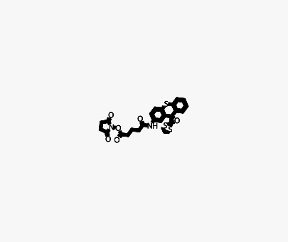 O=C(CCCC(=O)ON1C(=O)CCC1=O)Nc1ccc2c(c1)C1(OC13SCCCS3)c1ccccc1S2